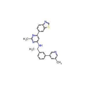 Cc1cncc(-c2cccc([C@H](C)Nc3cc(-c4ccc5ncsc5c4)nc(C)n3)c2)c1